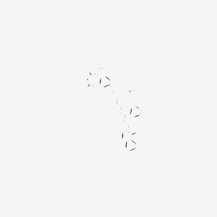 CCN1C(=O)C(C)(C)C(=O)N(C)c2cc(OCCCCNC(CCn3ccc4ccccc4c3=O)c3ccncc3)ccc21.Cl.Cl